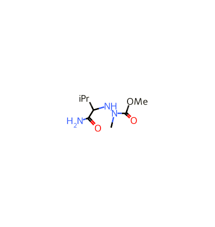 COC(=O)N(C)NC(C(N)=O)C(C)C